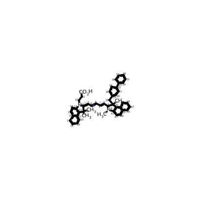 C[N+]1=C(/C=C/C=C/C=C2/N(CCC(=O)O)c3ccc4ccccc4c3C2(C)C)C(C)(Cc2ccc(-c3ccccc3)cc2)c2c1ccc1ccccc21